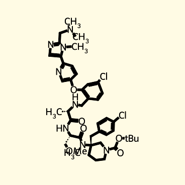 COC[C@H](NC(=O)[C@H](C)NCc1ccc(Cl)cc1Oc1ccc(-c2cnc(CN(C)C)n2C)nc1)C(=O)N(C)[C@@]1(Cc2ccc(Cl)cc2)CCCN(C(=O)OC(C)(C)C)C1